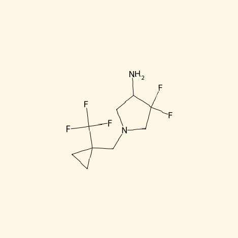 NC1CN(CC2(C(F)(F)F)CC2)CC1(F)F